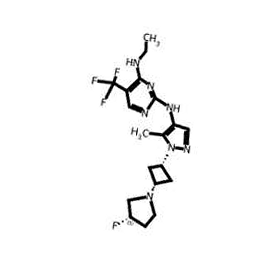 CCNc1nc(Nc2cnn([C@H]3C[C@@H](N4CC[C@H](F)C4)C3)c2C)ncc1C(F)(F)F